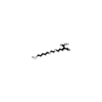 CCCCCCOCCOCCC=C(C#N)C(=O)O